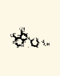 C[C@H]1C[C@@H](CO)O[C@H]1n1cc(C#N)c2c(Cl)ncnc21